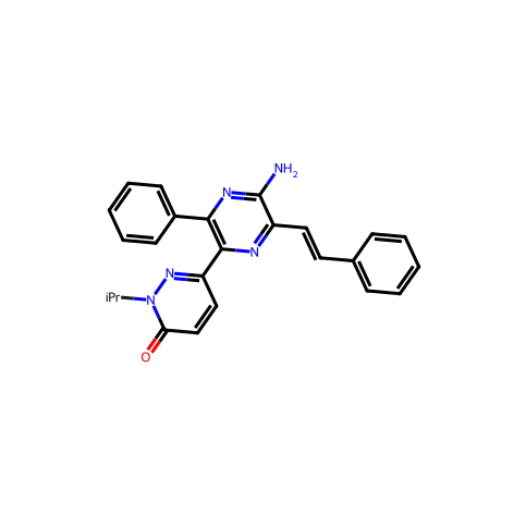 CC(C)n1nc(-c2nc(C=Cc3ccccc3)c(N)nc2-c2ccccc2)ccc1=O